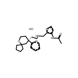 CC(=O)Nc1ccsc1CNCC[C@@]1(c2ccccn2)CCOC2(CCCC2)C1.Cl